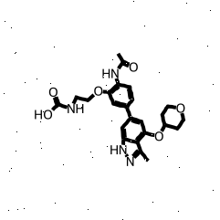 CC(=O)Nc1ccc(-c2cc(OC3CCOCC3)c3c(C)n[nH]c3c2)cc1OCCNC(=O)O